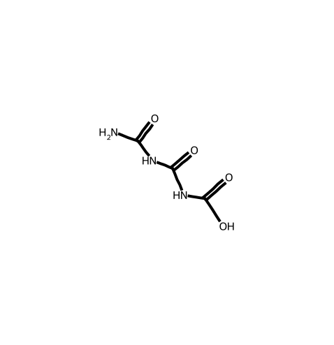 NC(=O)NC(=O)NC(=O)O